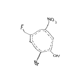 O=[N+]([O-])c1cc(O)c(Br)cc1F